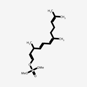 COP(=O)(OC)OC=CC(C)C=CC=C(C)CCC=C(C)C